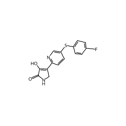 O=C1NCC(c2ccc(Sc3ccc(F)cc3)cn2)=C1O